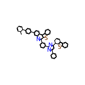 CC1C=CC=CC1c1ccc(-c2ccc3c(c2)nc(-c2cccc(-c4nc(-c5ccccc5)cc(C5CC=Cc6c5sc5ccccc65)n4)c2)c2sc4ccccc4c23)cc1